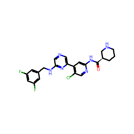 O=C(Nc1cc(-c2cncc(NCc3cc(F)cc(F)c3)n2)c(Cl)cn1)[C@@H]1CCCNC1